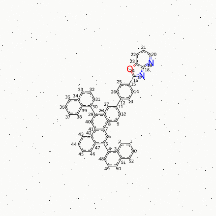 c1ccc2c(-c3cc4c5ccc(-c6ccc(-c7nc8ncccc8o7)cc6)cc5c(-c5cccc6ccccc56)cc4c4ccccc34)cccc2c1